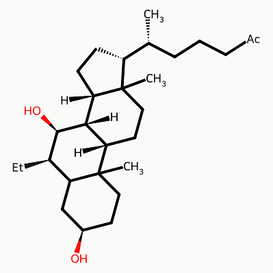 CC[C@@H]1C2C[C@H](O)CCC2(C)[C@H]2CCC3(C)[C@@H]([C@H](C)CCCC(C)=O)CC[C@H]3[C@H]2[C@@H]1O